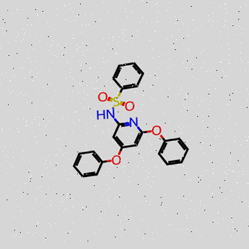 O=S(=O)(Nc1cc(Oc2ccccc2)cc(Oc2ccccc2)n1)c1ccccc1